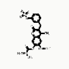 Cc1c(Cc2cccc(NS(N)(=O)=O)c2)c(=O)oc2cc(OC(=O)N(C)C)c(NC=O)cc12